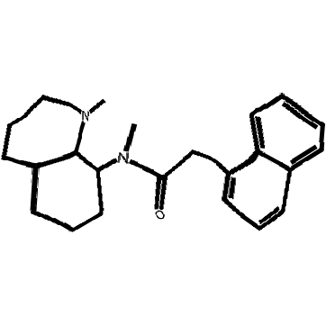 CN1CCCC2CCCC(N(C)C(=O)Cc3cccc4ccccc34)C21